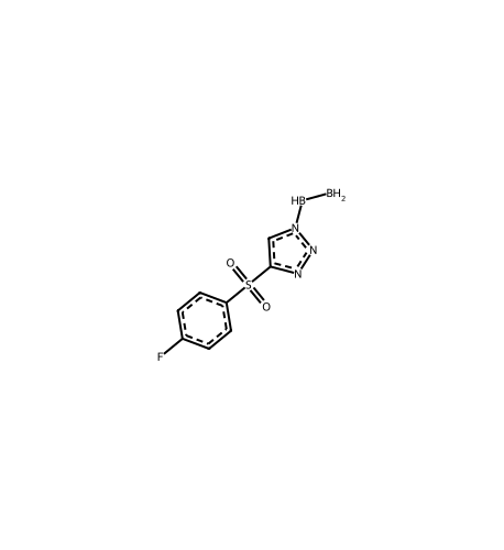 BBn1cc(S(=O)(=O)c2ccc(F)cc2)nn1